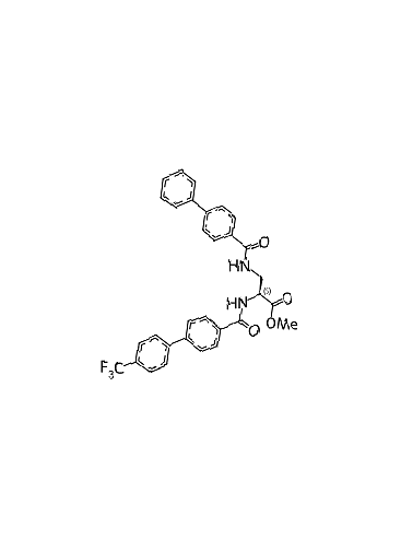 COC(=O)[C@H](CNC(=O)c1ccc(-c2ccccc2)cc1)NC(=O)c1ccc(-c2ccc(C(F)(F)F)cc2)cc1